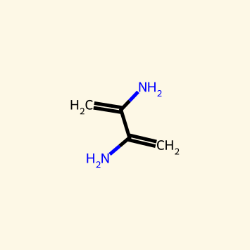 C=C(N)C(=C)N